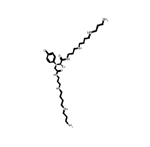 CC[C@H](C(=O)NCCCNCCCCNCCCN)N(CC(=O)NCCCNCCCCNCCCN)c1ccc(Cl)cc1